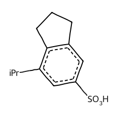 CC(C)c1cc(S(=O)(=O)O)cc2c1CCC2